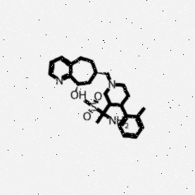 Cc1ccccc1C1CCN(C[C@@H]2CCc3cccnc3[C@@H](O)C2)CC1C(C)(N)S(C)(=O)=O